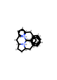 c1cc2c3c(c1)Cc1ccc4n1C31c3c(cccc3CC3CCC(C4)N31)C2